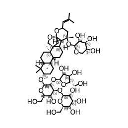 CC(C)=CC1C[C@](C)(O[C@@H]2OC[C@H](O)[C@H](O)[C@H]2O)[C@@H]2[C@H]3CC[C@@H]4[C@@]5(C)CC[C@H](O[C@@H]6O[C@H](CO)[C@@H](O)[C@H](O[C@@H]7O[C@H](CO)[C@@H](O)[C@H](O)[C@H]7O)[C@H]6O[C@@H]6O[C@@H](CO)[C@H](O)[C@H]6O)C(C)(C)[C@@H]5CC[C@@]4(C)[C@@]34CO[C@@]2(C4)O1